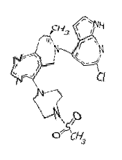 C[C@@H]1Cc2ncnc(N3CCN(S(C)(=O)=O)CC3)c2CN1c1cc(Cl)nc2[nH]ccc12